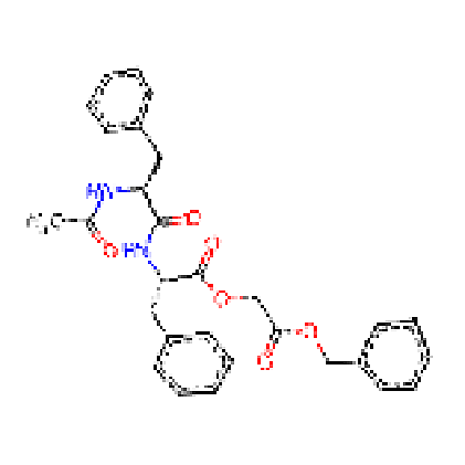 CC(=O)N[C@@H](Cc1ccccc1)C(=O)N[C@@H](Cc1ccccc1)C(=O)OCC(=O)OCc1ccccc1